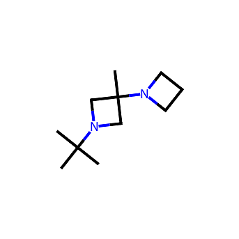 CC(C)(C)N1CC(C)(N2CCC2)C1